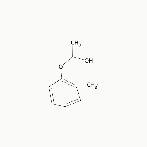 CC(O)Oc1ccccc1.[CH3]